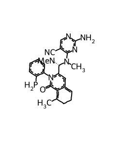 CN[C@@H](c1cc2c(c(=O)n1-c1ccccc1P)=C(C)CCC=2)N(C)c1nc(N)ncc1C#N